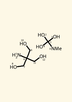 CNC(O)(O)O.NC(CO)(CO)CO